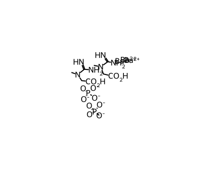 CN(CC(=O)O)C(=N)N.CN(CC(=O)O)C(=N)N.O=P([O-])([O-])[O-].O=P([O-])([O-])[O-].[Ba+2].[Ba+2].[Ba+2]